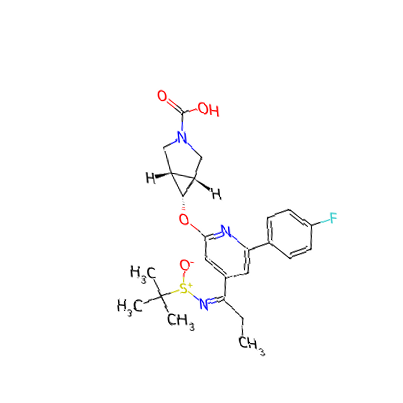 CC/C(=N/[S+]([O-])C(C)(C)C)c1cc(O[C@@H]2[C@@H]3CN(C(=O)O)C[C@@H]32)nc(-c2ccc(F)cc2)c1